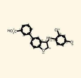 O=C(O)c1cccc(-c2ccc3c(c2)C(Nc2ccc(Cl)cc2Cl)CO3)c1